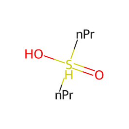 CCC[SH](=O)(O)CCC